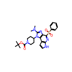 CN(C)c1nc2c(S(=O)(=O)c3ccccc3)nc3[nH]ccc3c2n1C1CCN(C(=O)OC(C)(C)C)CC1